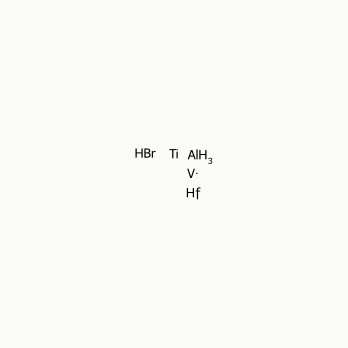 Br.[AlH3].[Hf].[Ti].[V]